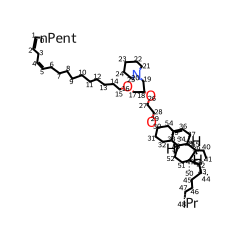 CCCCC/C=C\C/C=C\CCCCCCCCCCOCC(CN1CCCCC1)OCCO[C@H]1CC[C@@]2(C)C(=CC[C@H]3[C@@H]4CC[C@H]([C@H](C)CCCC(C)C)[C@@]4(C)CC[C@@H]32)C1